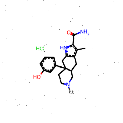 CCN1CCC2(c3cccc(O)c3)Cc3[nH]c(C(N)=O)c(C)c3CC2C1.Cl